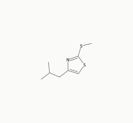 CSc1nc(CC(C)C)cs1